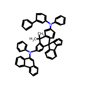 CC1(C)c2cc(N(c3ccccc3)c3cccc(-c4ccccc4)c3)ccc2C2(c3ccccc3-c3ccccc32)c2ccc(N(c3ccccc3)c3cc4ccccc4c4ccccc34)cc21